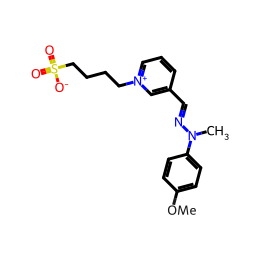 COc1ccc(N(C)N=Cc2ccc[n+](CCCCS(=O)(=O)[O-])c2)cc1